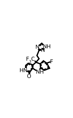 O=c1[nH]ccc2c1Nc1ccc(F)cc1C2(CCc1nc[nH]n1)C(F)(F)F